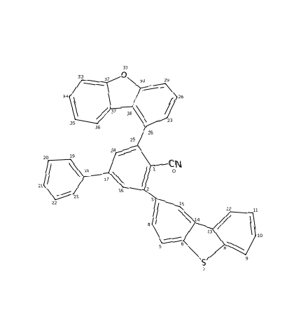 N#Cc1c(-c2ccc3sc4ccccc4c3c2)cc(-c2ccccc2)cc1-c1cccc2oc3ccccc3c12